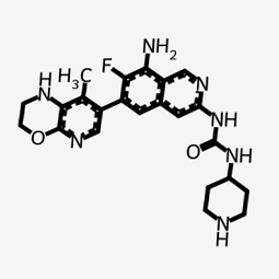 Cc1c(-c2cc3cc(NC(=O)NC4CCNCC4)ncc3c(N)c2F)cnc2c1NCCO2